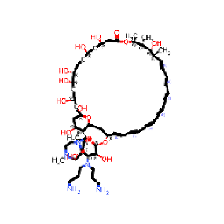 C[C@@H]1[C@H](O)[C@@H](C)/C=C/C=C/C=C/C=C/C=C/C=C/C=C/[C@H](O[C@@H]2O[C@H](C)[C@@H](O)[C@H](N(CCCN)CCCN)[C@@H]2O)CC2O[C@](O)(C[C@@H](O)C[C@@H](O)[C@H](O)CC[C@@H](O)C[C@@H](O)CC(=O)O[C@H]1C)C[C@H](O)[C@H]2C(=O)N1CCN(C)CC1